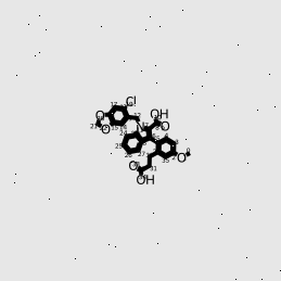 COc1ccc(-c2c(C(=O)O)n(Cc3cc4c(cc3Cl)OCO4)c3ccccc23)c(CCC(=O)O)c1